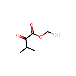 CC(C)C(=O)C(=O)OCS